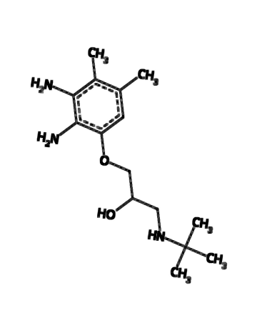 Cc1cc(OCC(O)CNC(C)(C)C)c(N)c(N)c1C